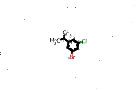 CC(c1cc(Cl)cc(Br)c1)C(F)(F)F